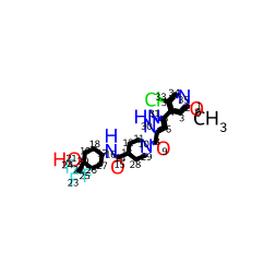 COc1cc(-c2cc(C(=O)N3CCC(C(=O)N[C@H]4CC[C@@](O)(C(F)(F)F)CC4)CC3)n[nH]2)c(Cl)cn1